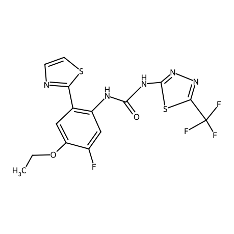 CCOc1cc(-c2nccs2)c(NC(=O)Nc2nnc(C(F)(F)F)s2)cc1F